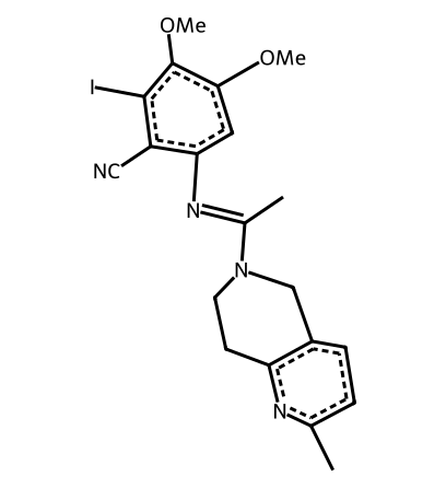 COc1cc(N=C(C)N2CCc3nc(C)ccc3C2)c(C#N)c(I)c1OC